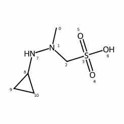 CN(CS(=O)(=O)O)NC1CC1